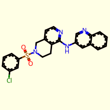 O=S(=O)(c1cccc(Cl)c1)N1CCc2c(ccnc2Nc2cnc3ccccc3c2)C1